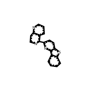 c1ccc2c(c1)sc1ccc(-c3nccc4ncccc34)nc12